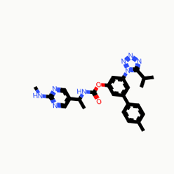 CNc1ncc(C(C)NC(=O)Oc2cc(-c3ccc(C)cc3)cc(-n3nnnc3C(C)C)c2)cn1